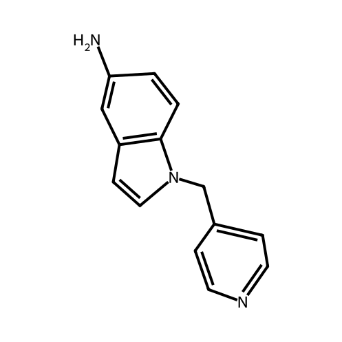 Nc1ccc2c(ccn2Cc2ccncc2)c1